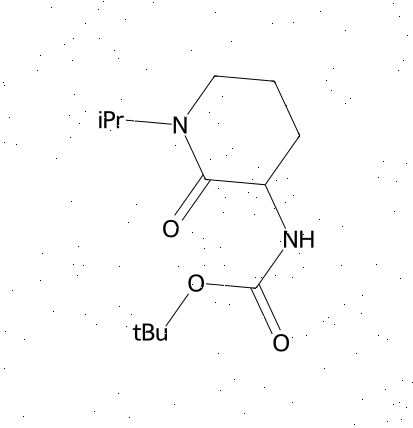 CC(C)N1CCCC(NC(=O)OC(C)(C)C)C1=O